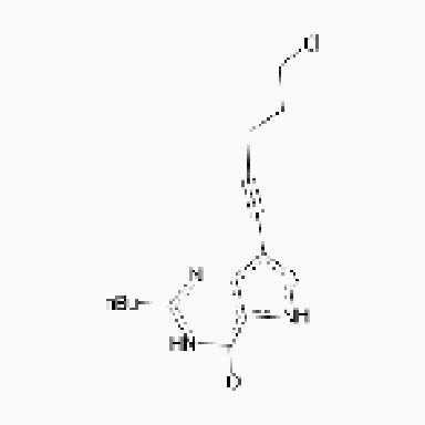 CCCCc1nc2c(C#CCCCCl)n[nH]c2c(=O)[nH]1